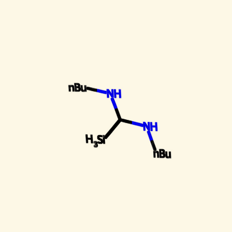 CCCCNC([SiH3])NCCCC